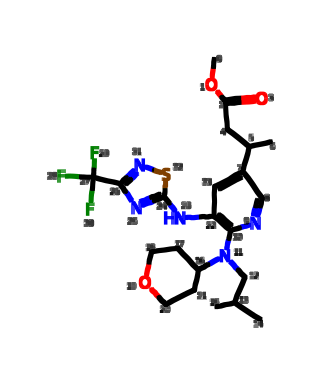 COC(=O)CC(C)c1cnc(N(CC(C)C)C2CCOCC2)c(Nc2nc(C(F)(F)F)ns2)c1